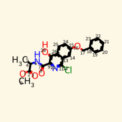 COC(=O)C(C)NC(=O)c1nc(Cl)c2cc(OCc3ccccc3)ccc2c1O